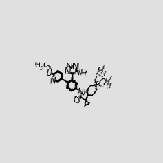 CCOc1ccc(-c2ccc(NC(=O)C3(C4CCC(C)(C)CC4)CC3)cc2-c2nnn[nH]2)cn1